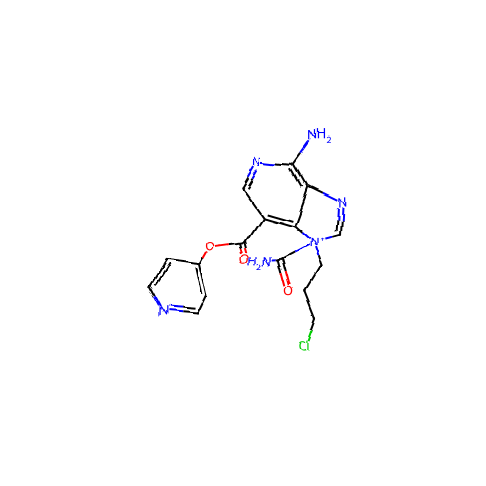 NC(=O)[N+]1(CCCCl)C=Nc2c(N)ncc(C(=O)Oc3ccncc3)c21